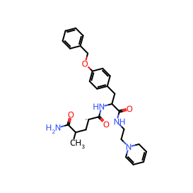 CC(C[CH]C(=O)NC(Cc1ccc(OCc2ccccc2)cc1)C(=O)NCCN1C=CC=CC1)C(N)=O